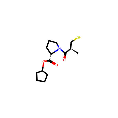 C[C@H](CS)C(=O)N1CCC[C@H]1C(=O)OC1CCCC1